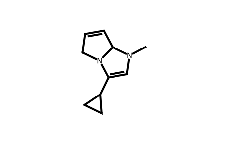 CN1C=C(C2CC2)N2CC=CC12